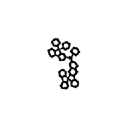 c1ccc(N(c2ccc3c(c2)C(c2ccccc2)(c2ccccc2)c2ccccc2-3)c2ccc3cc4c(cc3c2)C2(c3ccccc3-c3ccccc32)c2ccccc2-4)cc1